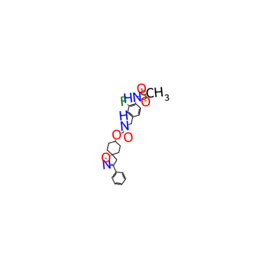 CS(=O)(=O)Nc1ccc(CNC(=O)OC2CCC3(CC2)CC(c2ccccc2)=NO3)cc1F